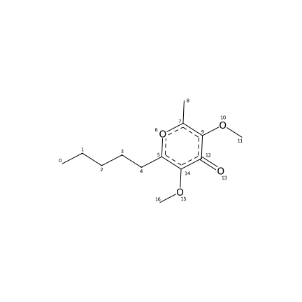 CCCCCc1oc(C)c(OC)c(=O)c1OC